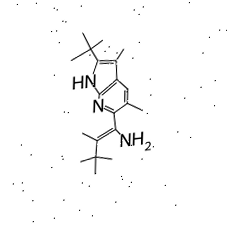 C/C(=C(/N)c1nc2[nH]c(C(C)(C)C)c(C)c2cc1C)C(C)(C)C